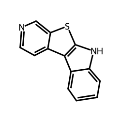 c1ccc2c(c1)[nH]c1sc3cnccc3c12